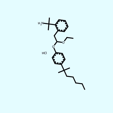 CCCCCC(C)(C)c1ccc(OC(Cc2ccccc2C(C)(C)N)OCC)cc1.Cl